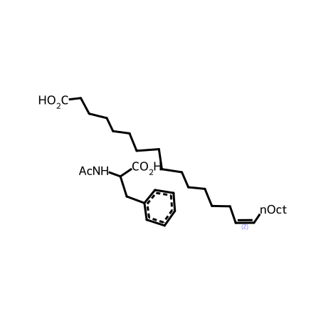 CC(=O)NC(Cc1ccccc1)C(=O)O.CCCCCCCC/C=C\CCCCCCCCCCCCCC(=O)O